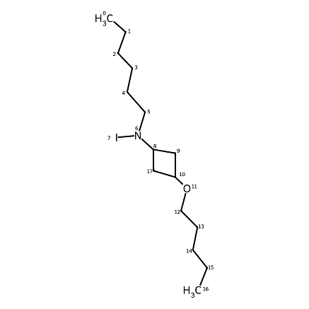 CCCCCCN(I)C1CC(OCCCCC)C1